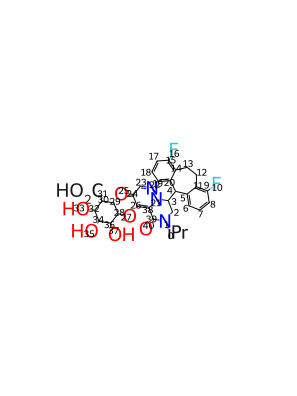 CC(C)N1CC(C2c3cccc(F)c3CCc3c(F)cccc32)n2ncc(=O)c(OC3CC(C(=O)O)C(O)C(O)C3O)c2C1=O